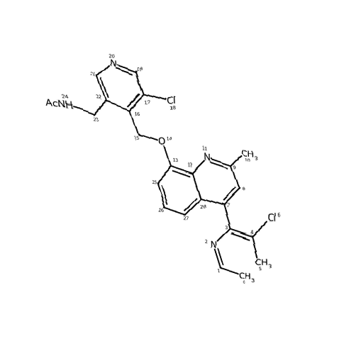 C/C=N\C(=C(/C)Cl)c1cc(C)nc2c(OCc3c(Cl)cncc3CNC(C)=O)cccc12